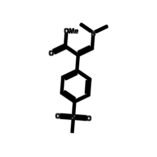 COC(=O)C(=CN(C)C)c1ccc(S(C)(=O)=O)cc1